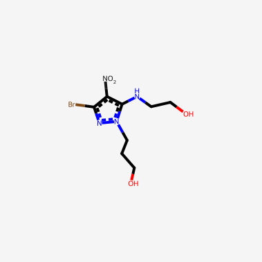 O=[N+]([O-])c1c(Br)nn(CCCO)c1NCCO